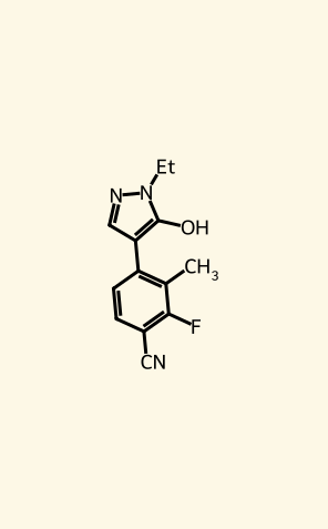 CCn1ncc(-c2ccc(C#N)c(F)c2C)c1O